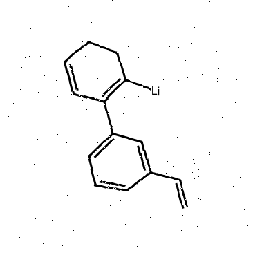 [Li][C]1=C(c2cccc(C=C)c2)C=CCC1